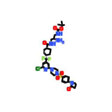 CC(C)(C)OC(=O)NCC(N)CNC(=O)[C@H]1CC[C@H](C(F)(F)c2cc(Cl)nc(N3CCN(S(=O)(=O)c4ccc(N5CCCC5=O)cc4)CC3)c2)CC1